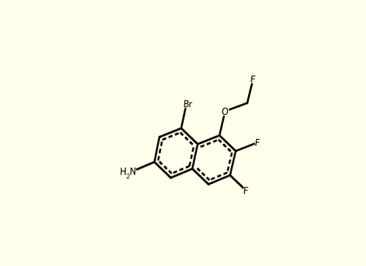 Nc1cc(Br)c2c(OCF)c(F)c(F)cc2c1